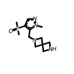 Cn1ncc(P(C)(C)=O)c1CN1CC2(CNC2)C1